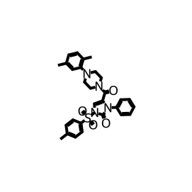 Cc1ccc(S(=O)(=O)n2cc(C(=O)N3CCN(c4cc(C)ccc4C)CC3)n(-c3ccccc3)c2=O)cc1